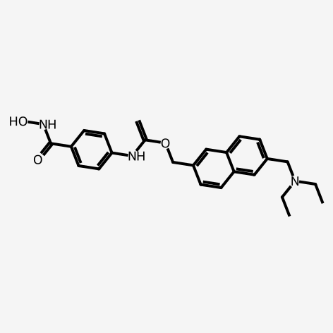 C=C(Nc1ccc(C(=O)NO)cc1)OCc1ccc2cc(CN(CC)CC)ccc2c1